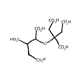 O=C(O)CC(C(=O)O)C(OC(CC(=O)O)(CC(=O)O)C(=O)O)C(=O)O